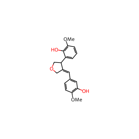 COc1ccc(C=C2COCC2c2cccc(OC)c2O)cc1O